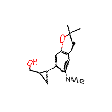 CNc1cc2c(cc1C1CC1CO)OC(C)(C)C2